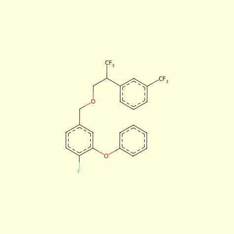 Fc1ccc(COCC(c2cccc(C(F)(F)F)c2)C(F)(F)F)cc1Oc1ccccc1